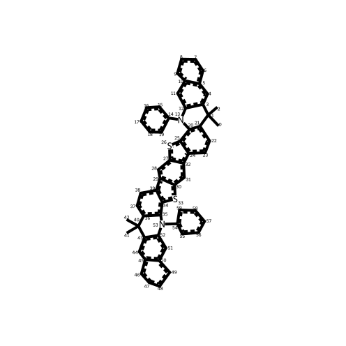 CC1(C)c2cc3ccccc3cc2N(c2ccccc2)c2c1ccc1c2sc2cc3c(cc21)sc1c2c(ccc13)C(C)(C)c1cc3ccccc3cc1N2c1ccccc1